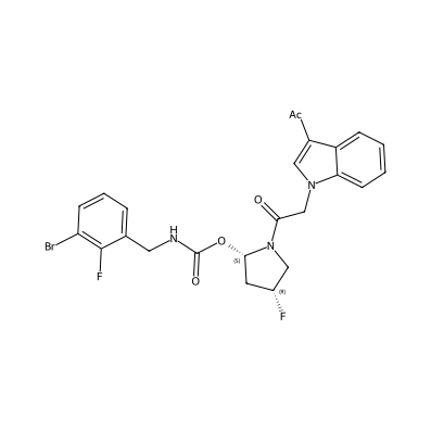 CC(=O)c1cn(CC(=O)N2C[C@H](F)C[C@@H]2OC(=O)NCc2cccc(Br)c2F)c2ccccc12